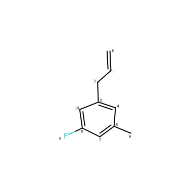 C=C[CH]c1cc(C)cc(F)c1